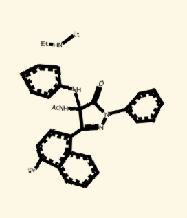 CC(=O)NC1(Nc2ccccc2)C(=O)N(c2ccccc2)N=C1c1ccc(C(C)C)c2ccccc12.CCNCC